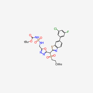 COCCS(=O)(=O)C(c1nnc(CNS(=O)(=O)NC(=O)OC(C)(C)C)o1)c1nc2ccc(-c3cc(F)cc(Cl)c3)cc2s1